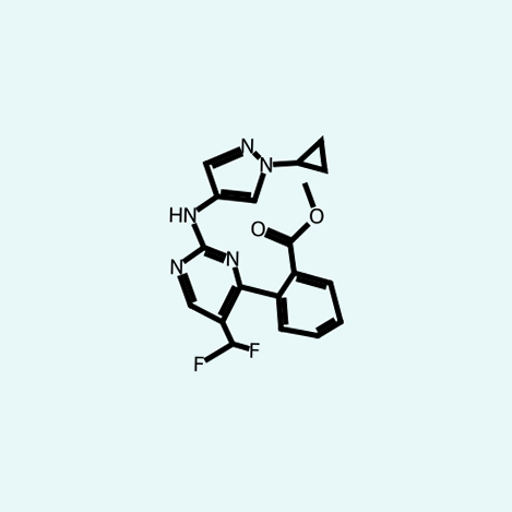 COC(=O)c1ccccc1-c1nc(Nc2cnn(C3CC3)c2)ncc1C(F)F